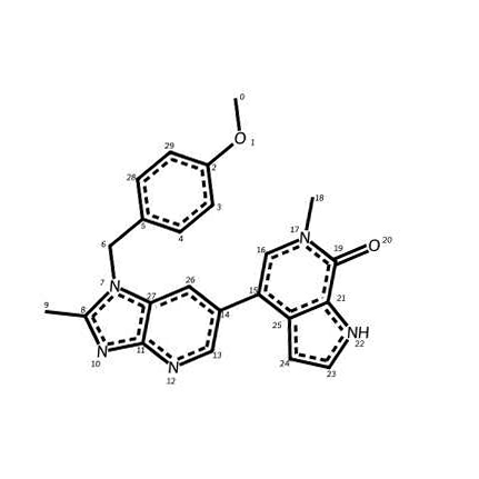 COc1ccc(Cn2c(C)nc3ncc(-c4cn(C)c(=O)c5[nH]ccc45)cc32)cc1